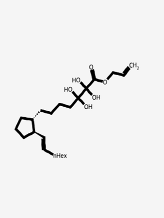 C=CCOC(=O)C(O)(O)C(O)(O)CCCC[C@H]1CCC[C@@H]1C=CCCCCCC